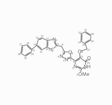 COc1nc(-c2nnc(Cc3nc4ccc(-c5ccccc5)cc4s3)o2)c(OCc2ccccc2)c(=O)[nH]1